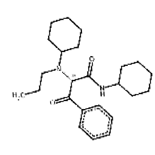 CCCN(C1CCCCC1)[C@H](C(=O)NC1CCCCC1)C(=O)c1ccccc1